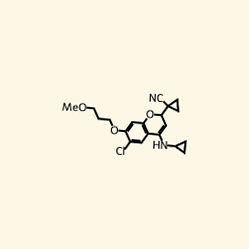 COCCCOc1cc2c(cc1Cl)C(NC1CC1)=CC(C1(C#N)CC1)O2